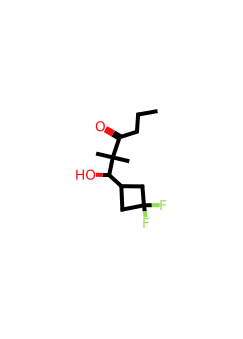 CCCC(=O)C(C)(C)C(O)C1CC(F)(F)C1